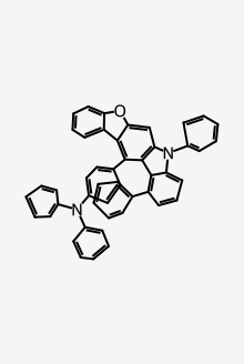 c1ccc(-c2cccc3c2c2c(-c4ccc(N(c5ccccc5)c5ccccc5)cc4)c4c(cc2n3-c2ccccc2)oc2ccccc24)cc1